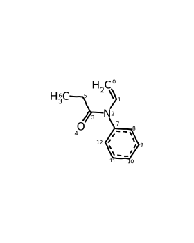 C=CN(C(=O)CC)c1ccccc1